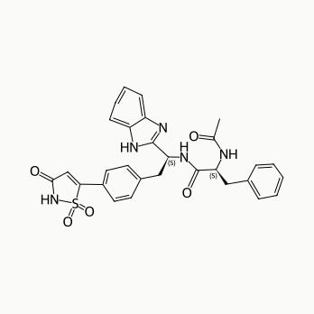 CC(=O)N[C@@H](Cc1ccccc1)C(=O)N[C@@H](Cc1ccc(C2=CC(=O)NS2(=O)=O)cc1)c1nc2ccccc2[nH]1